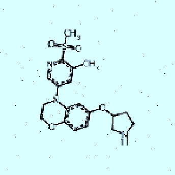 Cc1cc(N2CCOc3ccc(OC4CCNC4)cc32)cnc1S(C)(=O)=O